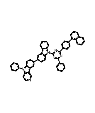 c1ccc(-c2nc(-c3ccc(-c4cccc5ccccc45)cc3)nc(-n3c4ccccc4c4cc(-c5ccc6c(c5)c5cnccc5n6-c5ccccc5)ccc43)n2)cc1